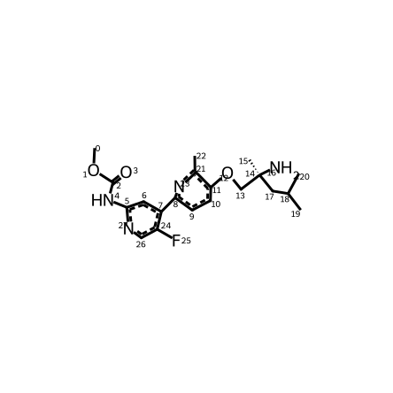 COC(=O)Nc1cc(-c2ccc(OC[C@@](C)(N)CC(C)C)c(C)n2)c(F)cn1